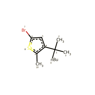 CCCCC(C)(C)c1cc(Br)sc1C